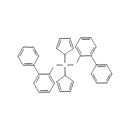 C1=C[CH]([Zr]([O]c2ccccc2-c2ccccc2)([O]c2ccccc2-c2ccccc2)[CH]2C=CC=C2)C=C1